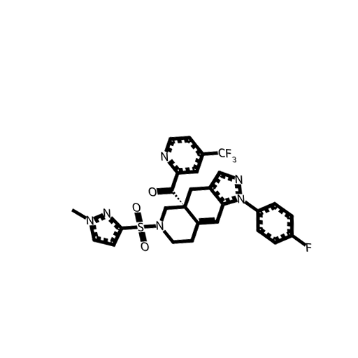 Cn1ccc(S(=O)(=O)N2CCC3=Cc4c(cnn4-c4ccc(F)cc4)C[C@]3(C(=O)c3cc(C(F)(F)F)ccn3)C2)n1